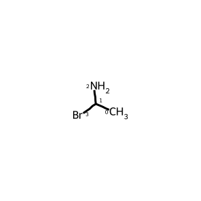 CC(N)Br